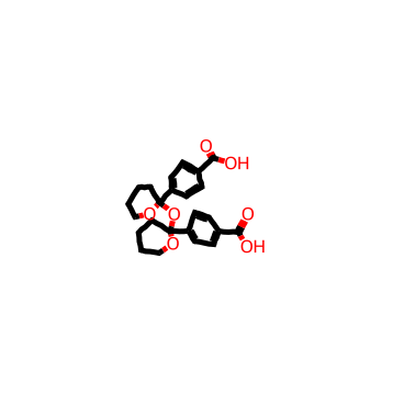 O=C(O)c1ccc(C2(OC3(c4ccc(C(=O)O)cc4)CCCCO3)CCCCO2)cc1